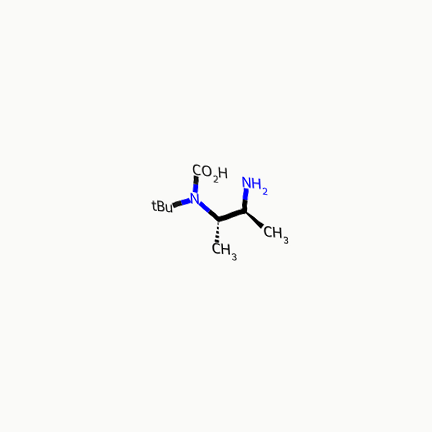 C[C@H](N)[C@H](C)N(C(=O)O)C(C)(C)C